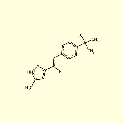 Cc1cc(/C(F)=C/c2ccc(C(C)(C)C)cc2)n[nH]1